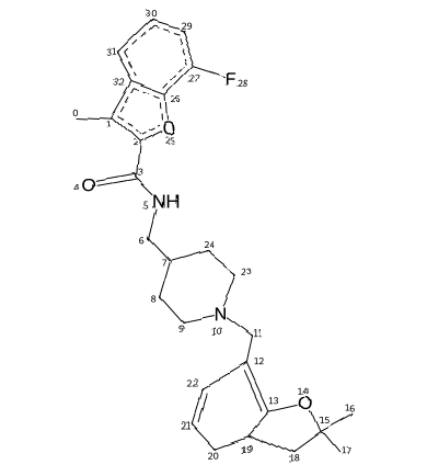 Cc1c(C(=O)NCC2CCN(CC3=C4OC(C)(C)CC4CC=C3)CC2)oc2c(F)cccc12